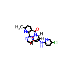 Cc1ccc(C(=O)N2C[C@@H]3CC[C@H]2[C@H](Nc2ccc(Cl)cn2)C3)c(-c2ncccn2)n1